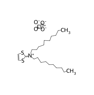 CCCCCCCCCC[N+](CCCCCCCCCC)=c1sccs1.[O-][Cl+3]([O-])([O-])[O-]